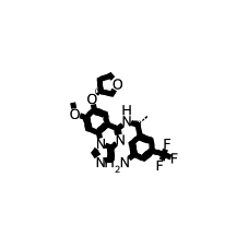 COc1cc2c(cc1O[C@H]1CCOC1)c(N[C@H](C)c1cc(N)cc(C(F)(F)F)c1)nc1cncn12